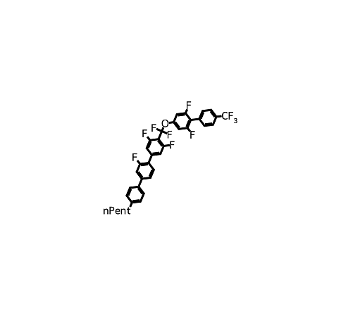 CCCCCc1ccc(-c2ccc(-c3cc(F)c(C(F)(F)Oc4cc(F)c(-c5ccc(C(F)(F)F)cc5)c(F)c4)c(F)c3)c(F)c2)cc1